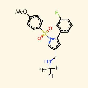 [2H]C([2H])([2H])NCc1cc(-c2cccc(F)c2)n(S(=O)(=O)c2ccc(OC)cc2)c1